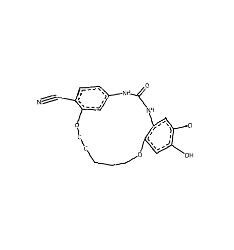 N#Cc1ccc2cc1OCCCCCOc1cc(O)c(Cl)cc1NC(=O)N2